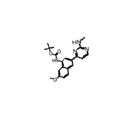 CNc1nccc(-c2cc(NC(=O)OC(C)(C)C)c3cc(OC)ccc3c2)n1